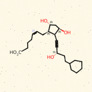 O=C(O)CCC/C=C\C[C@@H]1C(C#C[C@@H](O)CCC2CCCCC2)[C@H](O)C[C@H]1O